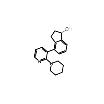 O[C@H]1CCc2c(-c3cccnc3N3CCCCC3)cccc21